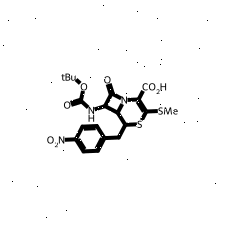 CSC1=C(C(=O)O)N2C(=O)C(NC(=O)OC(C)(C)C)C2C(Cc2ccc([N+](=O)[O-])cc2)S1